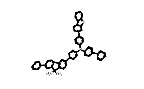 CC1(C)c2ccc(-c3ccc(N(c4ccc(-c5ccccc5)cc4)c4ccc(-c5ccc6c(c5)oc5ccccc56)cc4)cc3)cc2-c2ccc(-c3ccccc3)cc21